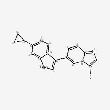 Fc1cnc2ccc(-c3c[nH]c4nc(C5CC5)ncc34)cn12